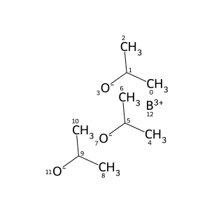 CC(C)[O-].CC(C)[O-].CC(C)[O-].[B+3]